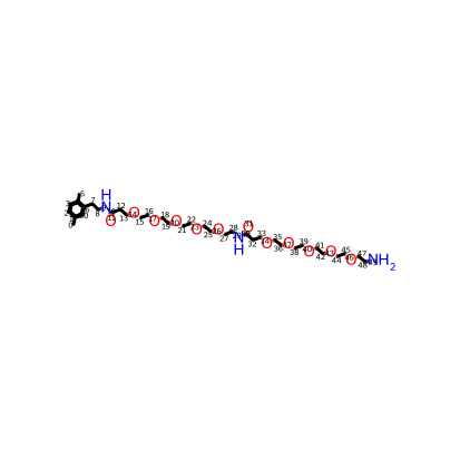 Cc1ccc(C)c(CCNC(=O)CCOCCOCCOCCOCCOCCNC(=O)CCOCCOCCOCCOCCOCCN)c1